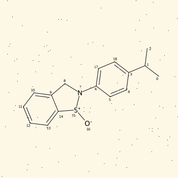 CC(C)c1ccc(N2Cc3ccccc3[S+]2[O-])cc1